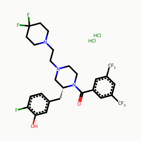 Cl.Cl.O=C(c1cc(C(F)(F)F)cc(C(F)(F)F)c1)N1CCN(CCN2CCC(F)(F)CC2)C[C@H]1Cc1ccc(F)c(O)c1